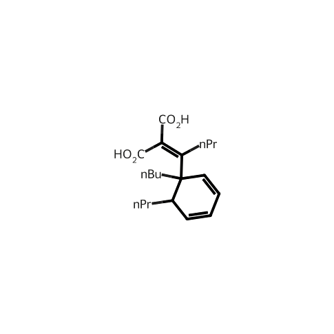 CCCCC1(C(CCC)=C(C(=O)O)C(=O)O)C=CC=CC1CCC